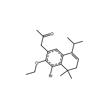 CCOc1c(CC(C)=O)cc2c(c1Br)C(C)(C)CC=C2C(C)C